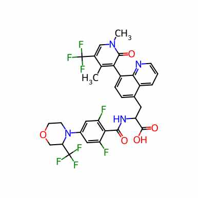 Cc1c(C(F)(F)F)cn(C)c(=O)c1-c1ccc(CC(NC(=O)c2c(F)cc(N3CCOCC3C(F)(F)F)cc2F)C(=O)O)c2cccnc12